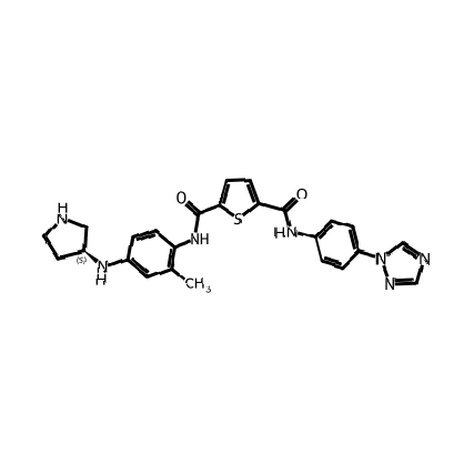 Cc1cc(N[C@H]2CCNC2)ccc1NC(=O)c1ccc(C(=O)Nc2ccc(-n3cncn3)cc2)s1